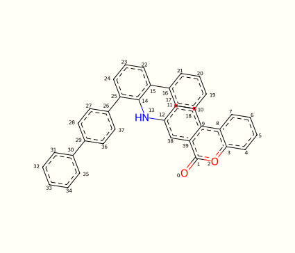 O=c1oc2ccccc2c2ccc(Nc3c(-c4ccccc4)cccc3-c3ccc(-c4ccccc4)cc3)cc12